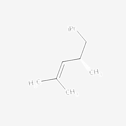 CC(C)=C[C@@H](C)CC(C)C